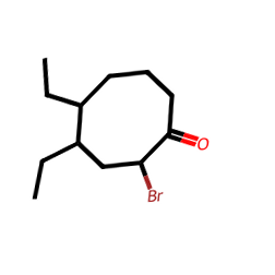 CCC1CCCC(=O)C(Br)CC1CC